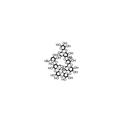 CCCC[C@@H]1C[C@H](O)[C@@H](O)[C@@H](O[C@H]2[C@H](O)[C@@H](O)[C@@H](O[C@H]3[C@H](O)[C@@H](O)[C@@H](O[C@H]4[C@H](O)[C@@H](O)[C@@H](O[C@H]5[C@H](O)[C@@H](O)[C@@H](O[C@H]6[C@H](O)[C@@H](O)[C@@H](O[C@H]7[C@H](O)[C@@H](O)[C@@H](O[C@H]8[C@H](O)[C@@H](O)[C@@H](O)O[C@@H]8CCl)O[C@@H]7CCl)O[C@@H]6CCl)O[C@@H]5CCl)O[C@@H]4CCl)O[C@@H]3CCl)O[C@@H]2CCl)O1